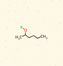 CCCCC(C)OF